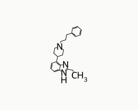 CCc1nc2c(C3CCN(CCCc4ccccc4)CC3)cccc2[nH]1